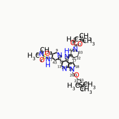 CN(C)S(=O)(=O)Nc1ccnc(-c2cnc3c(ccn3COCC[Si](C)(C)C)c2N[C@@H]2CCCN(C(=O)OC(C)(C)C)C2)c1